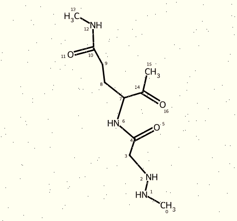 CNNCC(=O)NC(CCC(=O)NC)C(C)=O